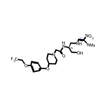 CN/C(=C\NC[C@@H](CO)NC(=O)CN1CCC(Oc2ccc(OCC(F)(F)F)cc2)CC1)[N+](=O)[O-]